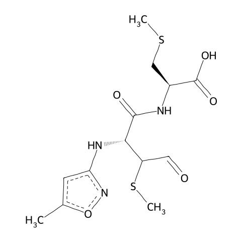 CSC[C@H](NC(=O)[C@@H](Nc1cc(C)on1)C(C=O)SC)C(=O)O